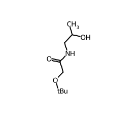 CC(O)CNC(=O)COC(C)(C)C